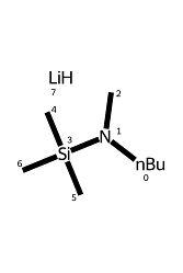 [CH2]CCCN(C)[Si](C)(C)C.[LiH]